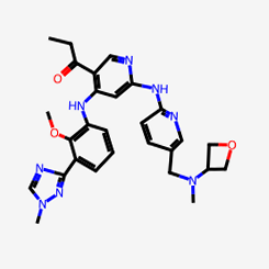 CCC(=O)c1cnc(Nc2ccc(CN(C)C3COC3)cn2)cc1Nc1cccc(-c2ncn(C)n2)c1OC